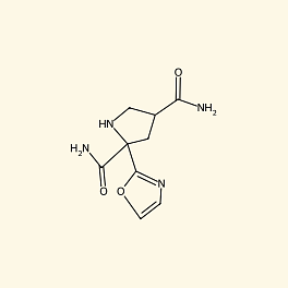 NC(=O)C1CNC(C(N)=O)(c2ncco2)C1